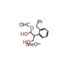 CC(C)Cc1ccccc1C(CO)C(O)OC=O.COC